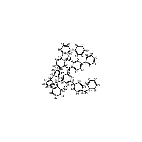 c1ccc(-c2ccc(N(c3cc(-c4ccc5sc6ccccc6c5c4)c4c(c3)C3(c5ccccc5O4)c4ccccc4-c4ccccc43)c3cccc4c3oc3c(-c5ccccc5)cccc34)cc2)cc1